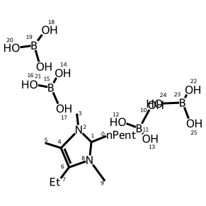 CCCCCC1N(C)C(C)=C(CC)N1C.OB(O)O.OB(O)O.OB(O)O.OB(O)O